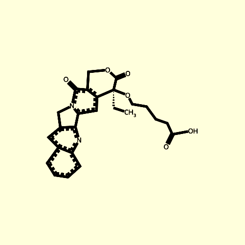 CC[C@@]1(OCCCCC(=O)O)C(=O)OCc2c1cc1n(c2=O)Cc2cc3ccccc3nc2-1